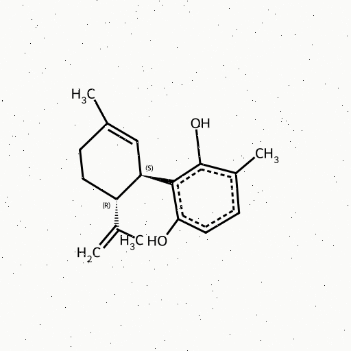 C=C(C)[C@@H]1CCC(C)=C[C@H]1c1c(O)ccc(C)c1O